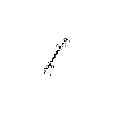 COCNC(=O)OCCCCCCOC(=O)NCOC